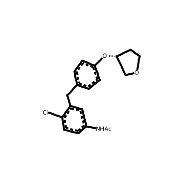 CC(=O)Nc1ccc(Cl)c(Cc2ccc(O[C@@H]3CCOC3)cc2)c1